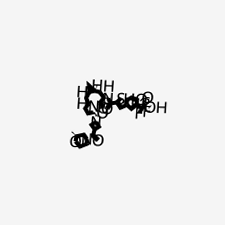 C[C@@H]1CN(C(=O)C2CN(C(=O)[C@@H]3CC[C@@H]4C[C@H]5C[C@H]5C[C@H](NC(=O)c5cc6cc(C(F)(F)P(=O)(O)O)ccc6s5)C(=O)N43)C2)CCO1